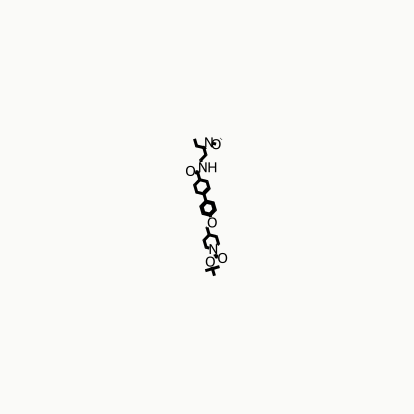 CC/C(CCNC(=O)C1CC=C(c2ccc(OCC3CCN(C(=O)OC(C)(C)C)CC3)cc2)CC1)=N/OC